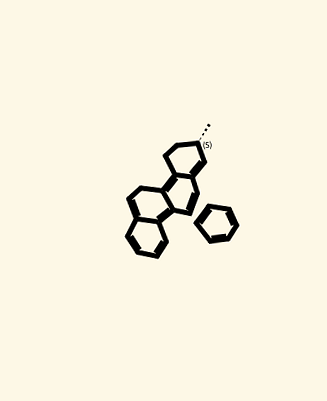 C[C@@H]1C=c2ccc3c(c2CC1)CC=c1ccccc1=3.c1ccccc1